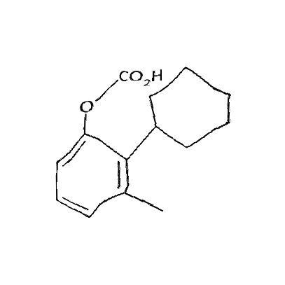 Cc1cccc(OC(=O)O)c1C1CCCCC1